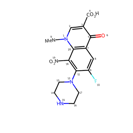 CNn1cc(C(=O)O)c(=O)c2cc(F)c(N3CCNCC3)c([N+](=O)[O-])c21